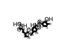 Cc1ccc(S(=O)(=O)Nc2ccc(CN3CC=C(CCC(=O)NO)C3=O)cc2)cc1O